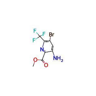 COC(=O)c1nc(C(F)(F)F)c(Br)cc1N